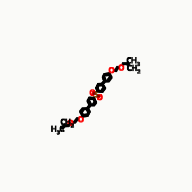 C=C(C)COCCOc1ccc(-c2ccc(S(=O)(=O)c3ccc(-c4ccc(OCCOCC(=C)C)cc4)cc3)cc2)cc1